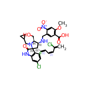 C=C(Cl)/C=C\C=C(/F)[C@H]1[C@H](NCc2cc(C(=O)O)c(OC)cc2[N+](=O)[O-])[C@H](CO)N(CC2CC2)[C@@]12C(=O)Nc1cc(Cl)ccc12